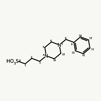 O=S(=O)(O)CCCN1CCN(Cc2ccccc2)CC1